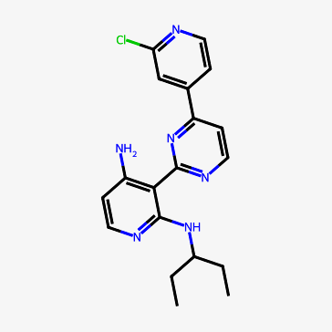 CCC(CC)Nc1nccc(N)c1-c1nccc(-c2ccnc(Cl)c2)n1